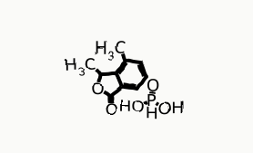 Cc1cccc2c1C(C)OC2=O.O=[PH](O)O